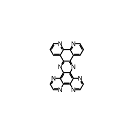 c1cnc2c(c1)c1nc3c4nccnc4c4nccnc4c3nc1c1cccnc12